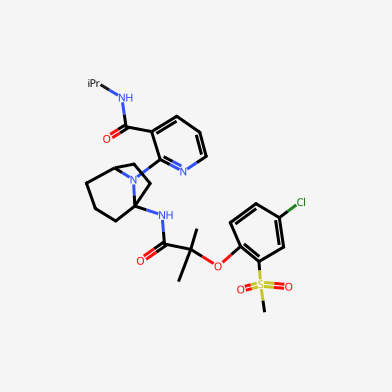 CC(C)NC(=O)c1cccnc1N1C2CCCC1(NC(=O)C(C)(C)Oc1ccc(Cl)cc1S(C)(=O)=O)CC2